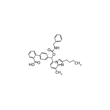 CCCCc1cn2c(C(OC(=O)NCc3ccccc3)c3ccc(-c4ccccc4C(=O)O)cc3)ccc(C)c2n1